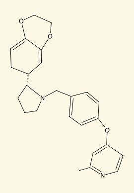 Cc1cc(Oc2ccc(CN3CCC[C@@H]3C3C=C4OCCOC4=CC3)cc2)ccn1